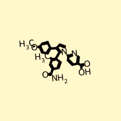 COc1ccc(-c2ccn(-c3ccc(C(=O)O)cn3)c2-c2ccc(C(N)=O)cc2C)cc1